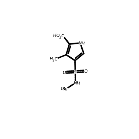 Cc1c(S(=O)(=O)NC(C)(C)C)c[nH]c1C(=O)O